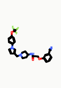 N#Cc1cccc(OCC(=O)NC2CCN(Cc3ccn(-c4ccc(OC(F)(F)F)cc4)c3)CC2)c1